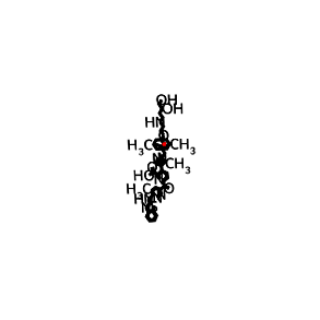 Cc1cc(C(=O)c2ccc(-c3cnn(CC45CC6(OCCNCC[C@H](O)CO)C[C@](C)(C4)C[C@](C)(C5)C6)c3C)c(C(=O)O)n2)nnc1Nc1nc2ccccc2s1